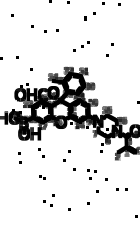 C=C(C)C(=O)N1CCN(c2ccc3c(c2)Oc2cc(B(O)O)ccc2C3(OC=O)c2ccccc2C)CC1